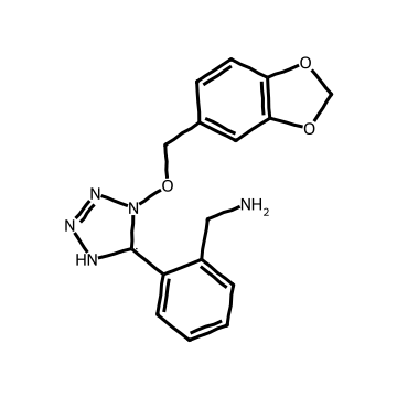 NCc1ccccc1[C]1NN=NN1OCc1ccc2c(c1)OCO2